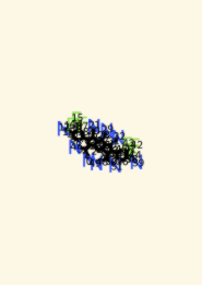 N#CC(C#N)=C1C(c2ccc(C#N)c(C(F)(F)F)c2)=C(C#N)c2c1cc1c(c2C#N)C(C#N)=C(c2ccc(C#N)c(C(F)(F)F)c2)C1=C(C#N)C#N